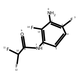 Nc1c(F)ccc(NC(=O)C(F)F)c1F